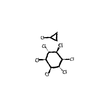 ClC1CC1.Cl[C@H]1[C@H](Cl)[C@@H](Cl)[C@@H](Cl)[C@H](Cl)[C@H]1Cl